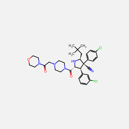 CC(C)(C)C[C@@H]1N[C@@H](C(=O)N2CCN(CC(=O)N3CCOCC3)CC2)[C@H](c2cccc(Cl)c2)[C@@]1(C#N)c1ccc(Cl)cc1